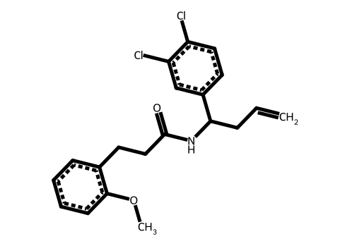 C=CCC(NC(=O)CCc1ccccc1OC)c1ccc(Cl)c(Cl)c1